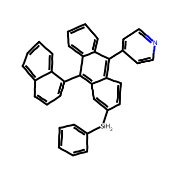 c1ccc([SiH2]c2ccc3c(-c4ccncc4)c4ccccc4c(-c4cccc5ccccc45)c3c2)cc1